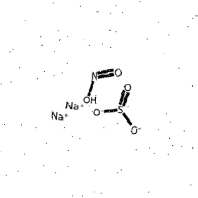 O=NO.O=S([O-])[O-].[Na+].[Na+]